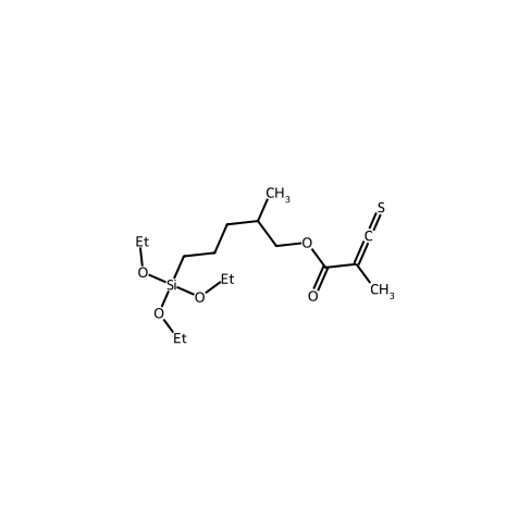 CCO[Si](CCCC(C)COC(=O)C(C)=C=S)(OCC)OCC